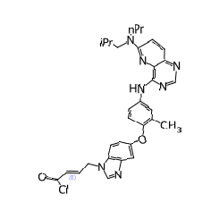 CCCN(CC(C)C)c1ccc2ncnc(Nc3ccc(Oc4ccc5c(c4)ncn5C/C=C/C(=O)Cl)c(C)c3)c2n1